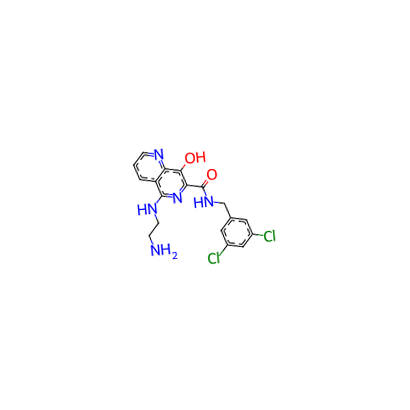 NCCNc1nc(C(=O)NCc2cc(Cl)cc(Cl)c2)c(O)c2ncccc12